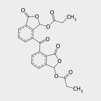 CCC(=O)OC1OC(=O)c2c(C(=O)c3cccc4c3C(OC(=O)CC)OC4=O)cccc21